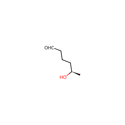 C[C@@H](O)CCCC=O